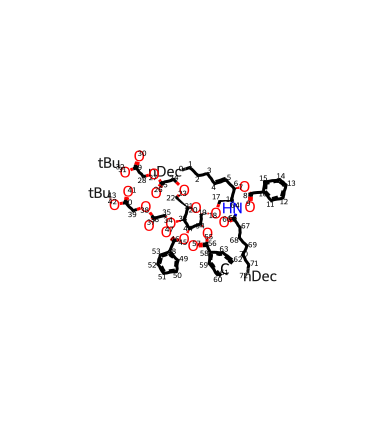 CCCCCCCCCCCCC/C=C/[C@@H](OC(=O)c1ccccc1)[C@H](CO[C@H]1O[C@H](COCC(=O)OCC(=O)OC(C)(C)C)[C@H](OCC(=O)OCC(=O)OC(C)(C)C)[C@H](OC(=O)c2ccccc2)[C@H]1OC(=O)c1ccccc1)NC(=O)CCCCCCCCCCCCCCC